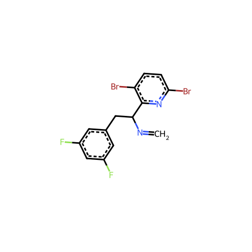 C=NC(Cc1cc(F)cc(F)c1)c1nc(Br)ccc1Br